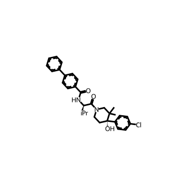 CC(C)[C@@H](NC(=O)c1ccc(-c2ccccc2)cc1)C(=O)N1CC[C@](O)(c2ccc(Cl)cc2)C(C)(C)C1